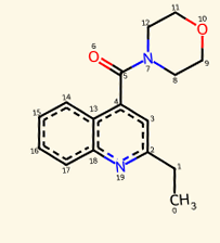 CCc1cc(C(=O)N2CCOCC2)c2ccccc2n1